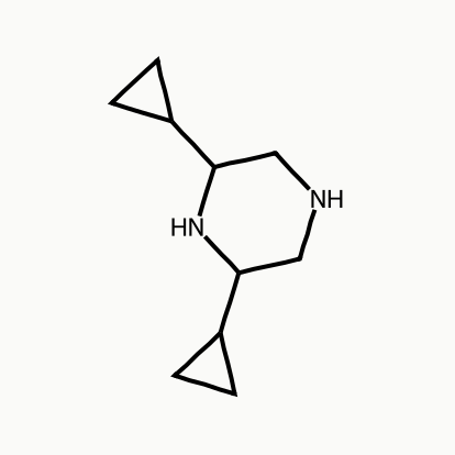 C1CC1C1CNCC(C2CC2)N1